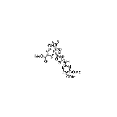 COC(=O)c1cc(N)c(C(=O)N(C)C)c(S(=O)(=O)NC(=O)Nc2ncc(OC)c(OC)n2)c1